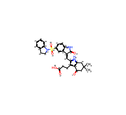 CC1(C)CC(=O)c2c([nH]c(/C=C3\C(=O)Nc4ccc(S(=O)(=O)N5CCc6ccccc65)cc43)c2CCC(=O)O)C1